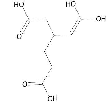 O=C(O)CCC(C=C(O)O)CC(=O)O